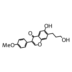 COc1ccc(-c2coc3cc(CCCO)c(O)cc3c2=O)cc1